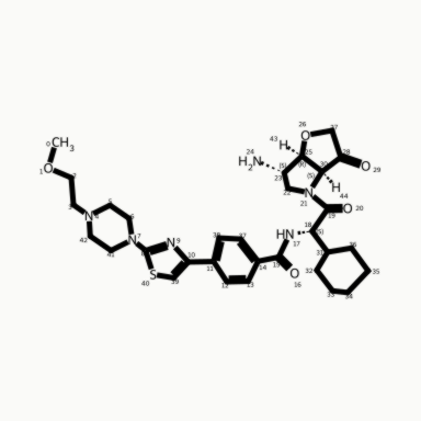 COCCN1CCN(c2nc(-c3ccc(C(=O)N[C@H](C(=O)N4C[C@H](N)[C@H]5OCC(=O)[C@H]54)C4CCCCC4)cc3)cs2)CC1